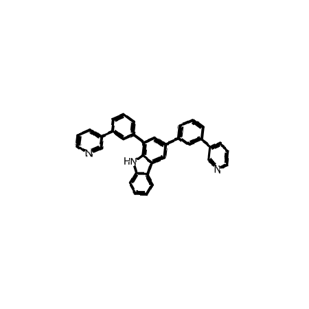 c1cncc(-c2cccc(-c3cc(-c4cccc(-c5cccnc5)c4)c4[nH]c5ccccc5c4c3)c2)c1